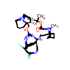 CN(C(=O)OC(C)(C)C)C1(CNc2nc(OCC34CCCN3CCC4)nc3c(F)c(Cl)ncc23)CCC1